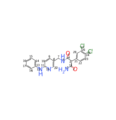 NC(=O)[C@@H](C(=O)NCc1ccc(Nc2ccccc2)nc1)c1ccc(Cl)c(Cl)c1